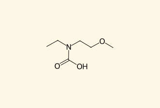 CCN(CCOC)C(=O)O